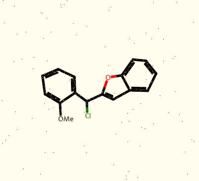 COc1ccccc1C(Cl)c1cc2ccccc2o1